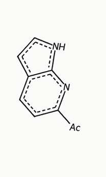 CC(=O)c1ccc2cc[nH]c2n1